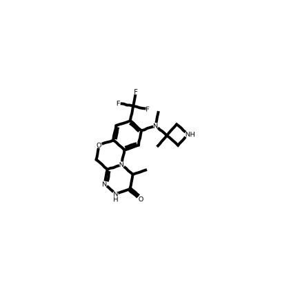 CC1C(=O)NN=C2COc3cc(C(F)(F)F)c(N(C)C4(C)CNC4)cc3N21